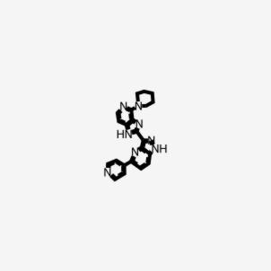 c1cc(-c2ccc3[nH]nc(-c4nc5c(N6CCCCC6)nccc5[nH]4)c3n2)ccn1